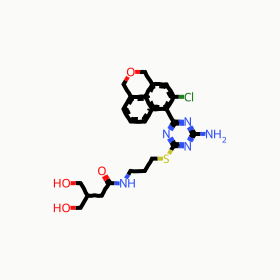 Nc1nc(SCCCNC(=O)CC(CO)CO)nc(-c2c(Cl)cc3c4c(cccc24)COC3)n1